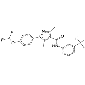 Cc1nn(-c2ccc(OC(F)F)cc2)c(C)c1C(=O)Nc1cccc(C(C)(F)F)c1